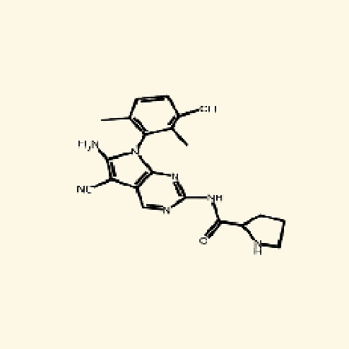 Cc1ccc(O)c(C)c1-n1c(N)c(C#N)c2cnc(NC(=O)C3CCCN3)nc21